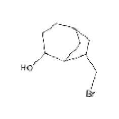 OC1CCC2CC(CBr)C1C2